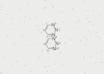 c1cnnnc1.c1cnnnc1